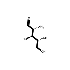 N[C@@H](C=O)[C@H](O)[C@H](O)CO